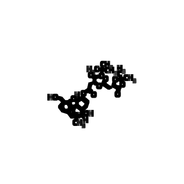 CN1CC[C@]23c4c5ccc(CO)c4O[C@H]2C(OC(=O)C[C@H](OC(=O)C[C@@H]2OC(C)(C)OC2=O)C(=O)OC(C)(C)C)=CC[C@@]3(O)[C@H]1C5